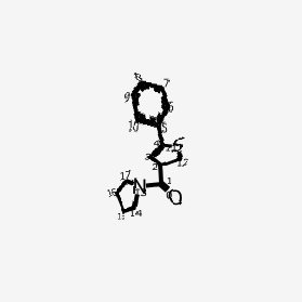 O=C(C1C=C(c2ccccc2)SC1)N1CCCC1